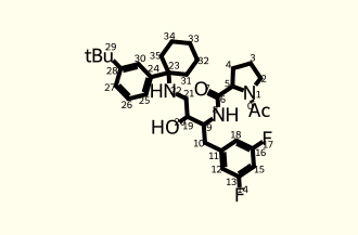 CC(=O)N1CCCC1C(=O)NC(Cc1cc(F)cc(F)c1)C(O)CNC1(c2cccc(C(C)(C)C)c2)CCCCC1